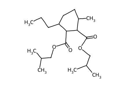 CCCC1CCC(C)C(C(=O)OCC(C)C)C1C(=O)OCC(C)C